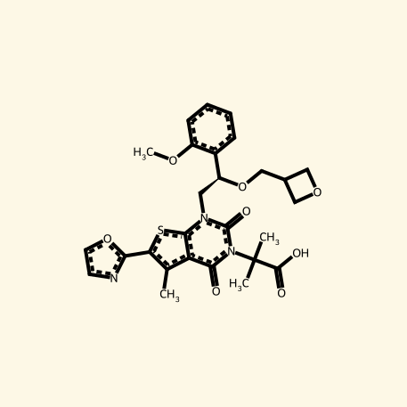 COc1ccccc1[C@H](Cn1c(=O)n(C(C)(C)C(=O)O)c(=O)c2c(C)c(-c3ncco3)sc21)OCC1COC1